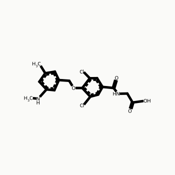 CNc1cc(C)cc(COc2c(Cl)cc(C(=O)NCC(=O)O)cc2Cl)c1